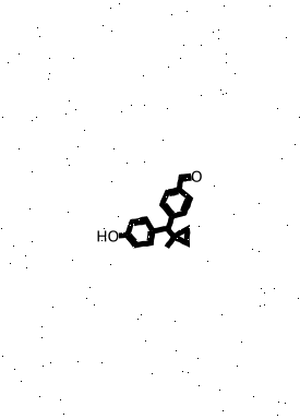 CC1(C(c2ccc(O)cc2)c2ccc(C=O)cc2)CC1